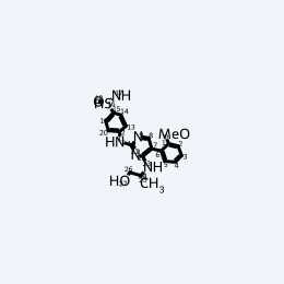 COc1ccccc1-c1cnc(Nc2ccc([SH](=N)=O)cc2)nc1N[C@H](C)CO